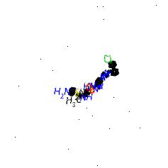 C[C@H](CCSc1ccc(N)cc1)Nc1ccc(S(=O)(=O)Nc2ncnc3cc(N4CCN(Cc5ccccc5-c5ccc(Cl)cc5)CC4)ccc23)cc1[N+](=O)[O-]